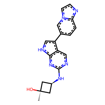 C[C@]1(O)C[C@@H](Nc2ncc3c(-c4ccc5nccn5c4)c[nH]c3n2)C1